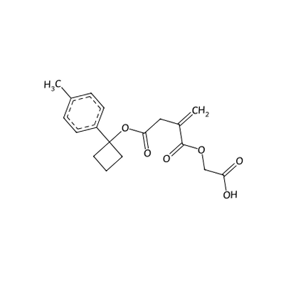 C=C(CC(=O)OC1(c2ccc(C)cc2)CCC1)C(=O)OCC(=O)O